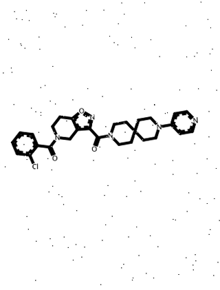 O=C(c1ccccc1Cl)N1CCc2onc(C(=O)N3CCC4(CC3)CCN(c3ccncc3)CC4)c2C1